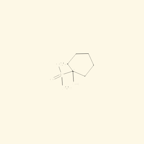 COP(=O)(OC)C1(O)CCCCC1